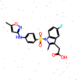 Cc1cc(Nc2ccc(S(=O)(=O)n3c(C)c(CC(=O)O)c4cc(F)ccc43)cc2)no1